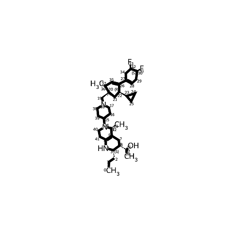 CCC[C@@H]1NC2=C(C[C@@H]1C(C)O)[C@@H](C)N(C1CCN(C[C@@H]3C[C@H](C4CC4)C(C4=CC[C@H](F)[C@H](F)C4)=CC3C)CC1)CC2